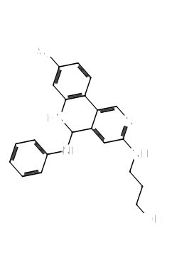 CC(=O)c1ccc2c(c1)NC(Nc1ccccc1)c1cc(NCCCO)ncc1-2